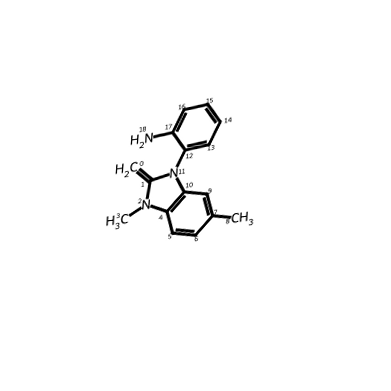 C=C1N(C)c2ccc(C)cc2N1c1ccccc1N